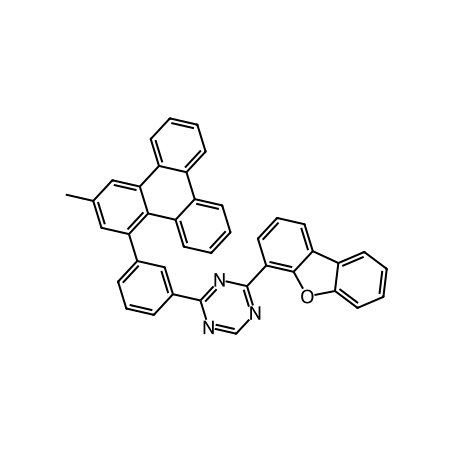 Cc1cc(-c2cccc(-c3ncnc(-c4cccc5c4oc4ccccc45)n3)c2)c2c3ccccc3c3ccccc3c2c1